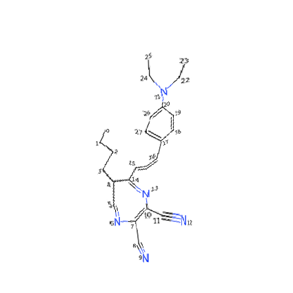 CCCCC1C=NC(C#N)=C(C#N)N=C1C=Cc1ccc(N(CC)CC)cc1